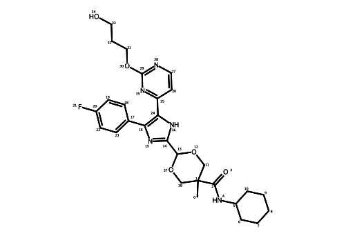 CC1(C(=O)NC2CCCCC2)COC(c2nc(-c3ccc(F)cc3)c(-c3ccnc(OCCCO)n3)[nH]2)OC1